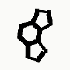 C1=NN=c2ccc3c(c21)N=CC=3